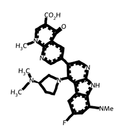 CNc1cc(F)cc2c1[nH]c1ncc(-c3cnc4c(c3)c(=O)c(C(=O)O)cn4C)c(N3CC[C@@H](N(C)C)C3)c12